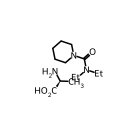 CCN(CC)C(=O)N1CCCCC1.C[C@H](N)C(=O)O